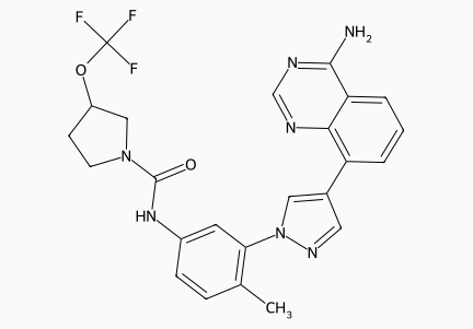 Cc1ccc(NC(=O)N2CCC(OC(F)(F)F)C2)cc1-n1cc(-c2cccc3c(N)ncnc23)cn1